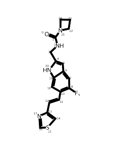 O=C(NCc1cc2cc(F)c(C=Cc3cscn3)cc2[nH]1)N1CCC1